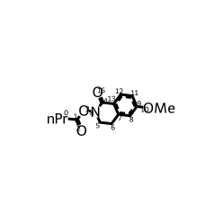 CCCC(=O)ON1CCc2cc(OC)ccc2C1=O